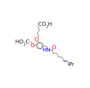 CC(C)/C=C/CCCCC(=O)NCc1ccc(OCC(=O)O)c(OCCCCC(=O)O)c1